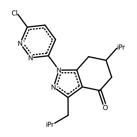 CC(C)Cc1nn(-c2ccc(Cl)nn2)c2c1C(=O)CC(C(C)C)C2